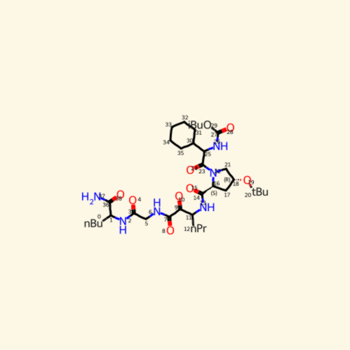 CCCCC(NC(=O)CNC(=O)C(=O)C(CCC)NC(=O)[C@@H]1C[C@@H](OC(C)(C)C)CN1C(=O)C(NC(=O)OCC(C)C)C1CCCCC1)C(N)=O